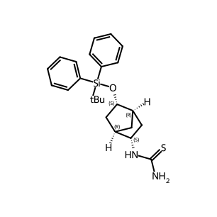 CC(C)(C)[Si](O[C@H]1C[C@H]2C[C@@H]1C[C@@H]2NC(N)=S)(c1ccccc1)c1ccccc1